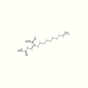 C=CCCCCCCCCC(=CCC(=O)O)C(=O)O